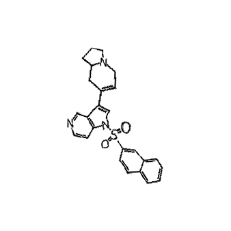 O=S(=O)(c1ccc2ccccc2c1)n1cc(C2=CCN3CCCC3C2)c2cnccc21